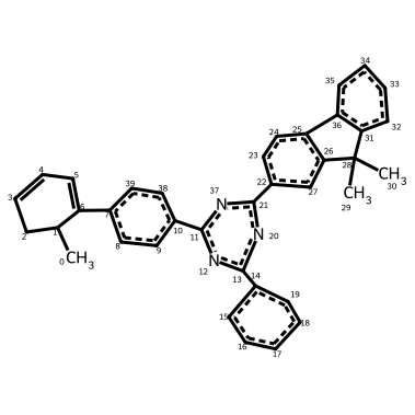 CC1CC=CC=C1c1ccc(-c2nc(-c3ccccc3)nc(-c3ccc4c(c3)C(C)(C)c3ccccc3-4)n2)cc1